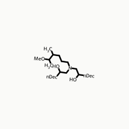 CCCCCCCCCCC(O)CN(CCCC(C)C(C)OC)CC(O)CCCCCCCCCC